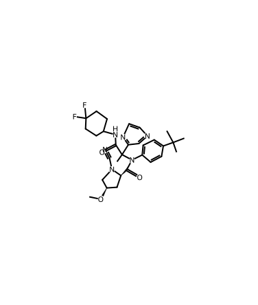 CO[C@@H]1C[C@H](C(=O)N(c2ccc(C(C)(C)C)cc2)C(C)(C(=O)NC2CCC(F)(F)CC2)c2cnccn2)N(C#N)C1